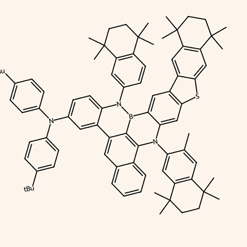 Cc1cc2c(cc1N1c3cc4sc5cc6c(cc5c4cc3B3c4c(cc5ccccc5c41)-c1cc(N(c4ccc(C(C)(C)C)cc4)c4ccc(C(C)(C)C)cc4)ccc1N3c1ccc3c(c1)C(C)(C)CCC3(C)C)C(C)(C)CCC6(C)C)C(C)(C)CCC2(C)C